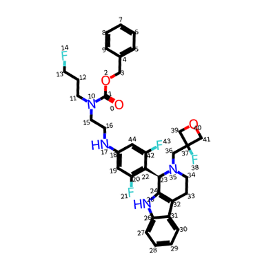 O=C(OCc1ccccc1)N(CCCF)CCNc1cc(F)c([C@@H]2c3[nH]c4ccccc4c3CCN2CC2(F)COC2)c(F)c1